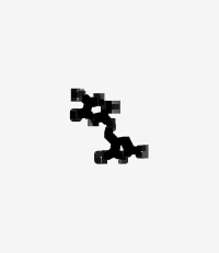 CCc1n[nH]c(SCc2cc(Cl)sc2Cl)nc1=O